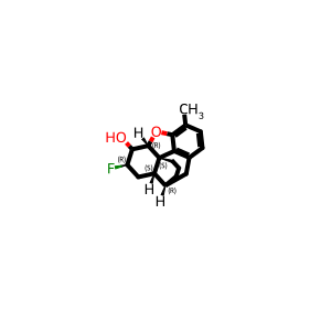 Cc1ccc2c3c1O[C@H]1C(O)[C@H](F)C[C@H]4[C@H](CCC[C@]314)C2